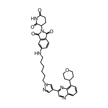 O=C1CCC(N2C(=O)c3ccc(NCCCCCCn4cc(-c5cnc6cccc(C7CCOCC7)c6n5)cn4)cc3C2=O)C(=O)N1